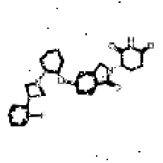 O=C1CC[C@H](N2Cc3cc(O[C@H]4CCCC[C@@H]4N4CC(c5ccccc5F)C4)ccc3C2=O)C(=O)N1